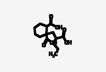 CCCC(CC1(C(=O)O)CCCCC1C(=O)O)C(=O)O